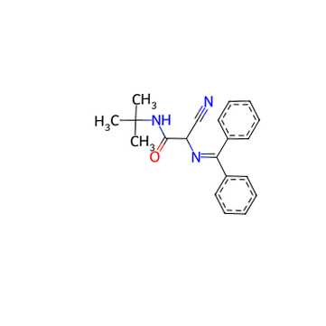 CC(C)(C)NC(=O)C(C#N)N=C(c1ccccc1)c1ccccc1